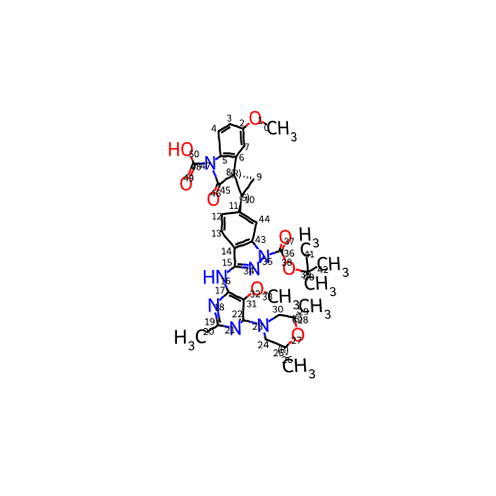 COc1ccc2c(c1)[C@]1(C[C@H]1c1ccc3c(Nc4nc(C)nc(N5C[C@@H](C)O[C@@H](C)C5)c4OC)nn(C(=O)OC(C)(C)C)c3c1)C(=O)N2C(=O)O